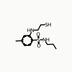 CCCNS(=O)(=O)c1ccc(C)cc1NCCS